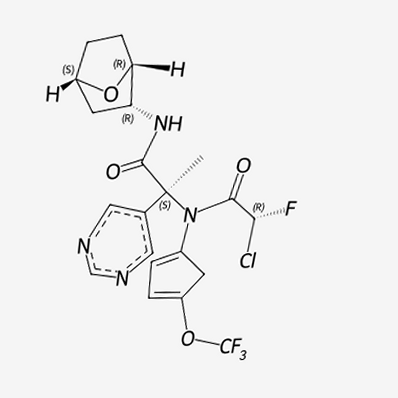 C[C@@](C(=O)N[C@@H]1C[C@@H]2CC[C@H]1O2)(c1cncnc1)N(C(=O)[C@H](F)Cl)C1=CC=C(OC(F)(F)F)C1